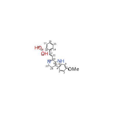 COc1ccc2c3c([nH]c2c1)C(/C=C/c1ccccc1B(O)O)=NCC3